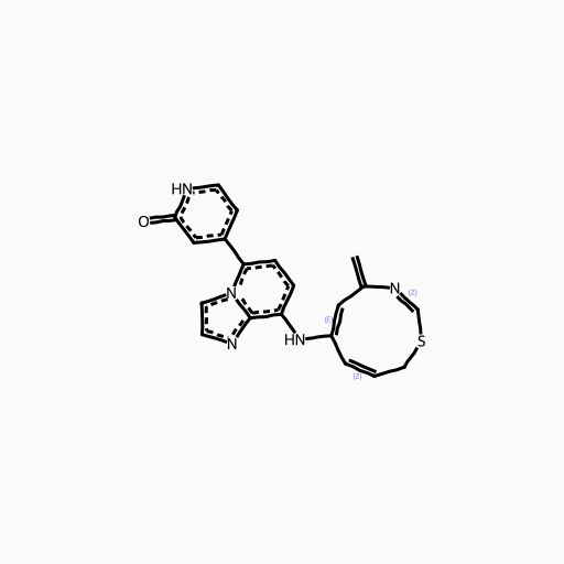 C=C1/C=C(Nc2ccc(-c3cc[nH]c(=O)c3)n3ccnc23)\C=C/CS/C=N\1